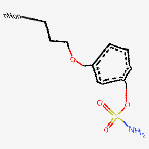 CCCCCCCCCCCCOc1cccc(OS(N)(=O)=O)c1